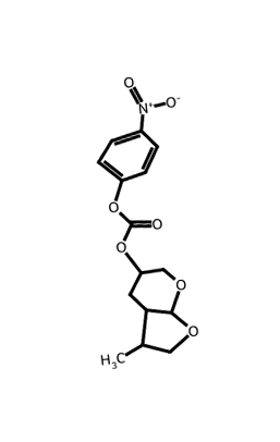 CC1COC2OCC(OC(=O)Oc3ccc([N+](=O)[O-])cc3)CC12